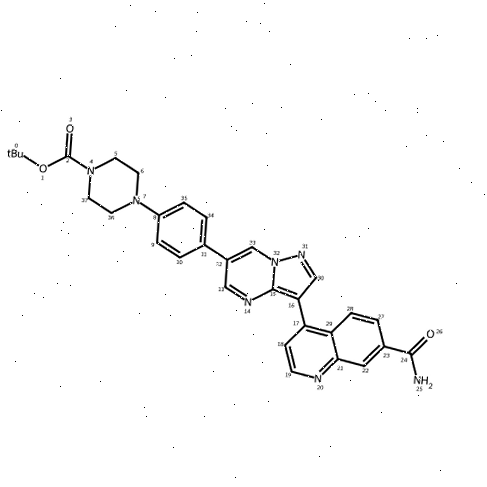 CC(C)(C)OC(=O)N1CCN(c2ccc(-c3cnc4c(-c5ccnc6cc(C(N)=O)ccc56)cnn4c3)cc2)CC1